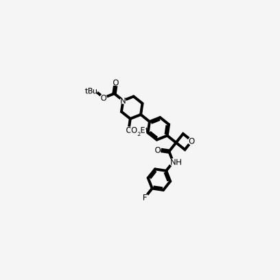 CCOC(=O)C1CN(C(=O)OC(C)(C)C)CCC1c1ccc(C2(C(=O)Nc3ccc(F)cc3)COC2)cc1